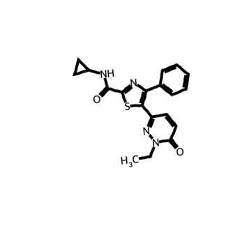 CCn1nc(-c2sc(C(=O)NC3CC3)nc2-c2ccccc2)ccc1=O